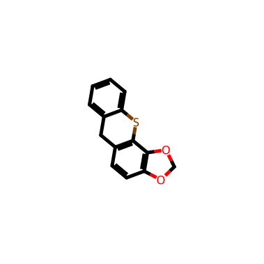 c1ccc2c(c1)Cc1ccc3c(c1S2)OCO3